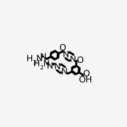 NN=Cc1ccc(C(=O)N2CCN(C(=O)c3cc(CN4CCN(C=NN)CC4)cc(C(=O)O)c3)CC2)cc1